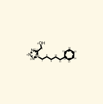 OCc1nnnn1CCCCCc1ccccc1